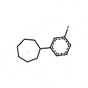 Fc1cccc(C2CCCCCC2)c1